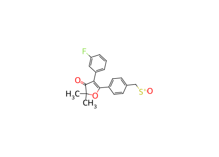 CC1(C)OC(c2ccc(C[S+]=O)cc2)=C(c2cccc(F)c2)C1=O